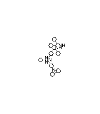 N=C/C(=C1\NC(c2ccccc2)=C(c2ccc(-c3nc(-c4ccccc4)nc(-c4ccc(-n5c6ccccc6c6ccccc65)cc4)n3)cc2)c2ccccc21)c1ccccc1